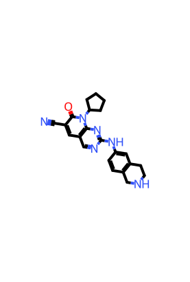 N#Cc1cc2cnc(Nc3ccc4c(c3)CCNC4)nc2n(C2CCCC2)c1=O